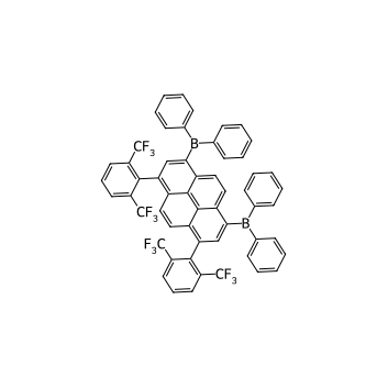 FC(F)(F)c1cccc(C(F)(F)F)c1-c1cc(B(c2ccccc2)c2ccccc2)c2ccc3c(B(c4ccccc4)c4ccccc4)cc(-c4c(C(F)(F)F)cccc4C(F)(F)F)c4ccc1c2c34